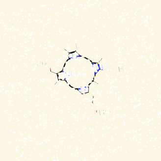 CCCCOCc1c(C)c2cc3nc(c(C)c4[nH]c(cc5nc(cc1[nH]2)C(C)=C5CC)c(C)c4C(=O)O)[C@@H](CCOC=O)[C@@H]3C